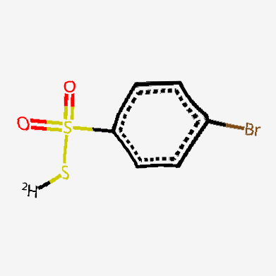 [2H]SS(=O)(=O)c1ccc(Br)cc1